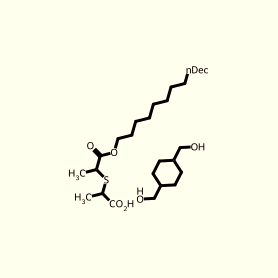 CCCCCCCCCCCCCCCCCCOC(=O)C(C)SC(C)C(=O)O.OCC1CCC(CO)CC1